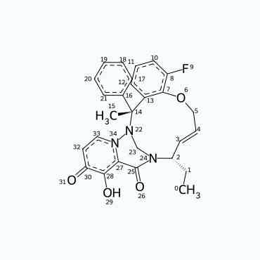 CC[C@H]1/C=C/COc2c(F)cccc2[C@@](C)(c2ccccc2)N2CN1C(=O)c1c(O)c(=O)ccn12